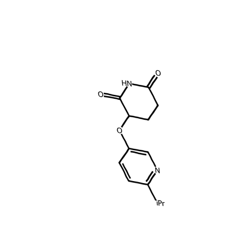 CC(C)c1ccc(OC2CCC(=O)NC2=O)cn1